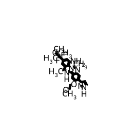 COCCOc1cc2c(N[C@H](C)c3cc(N)cc(C(F)(F)C(C)(C)OC)c3)nc(C)nc2cc1-c1cc[nH]n1